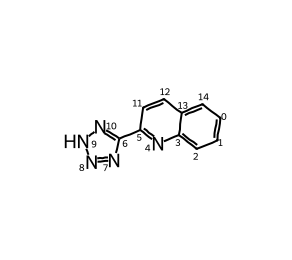 c1ccc2nc(-c3nn[nH]n3)ccc2c1